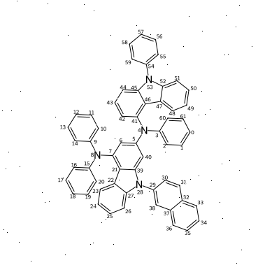 c1ccc(N(c2cc(N(c3ccccc3)c3ccccc3)c3c4ccccc4n(-c4ccc5ccccc5c4)c3c2)c2cccc3c2c2ccccc2n3-c2ccccc2)cc1